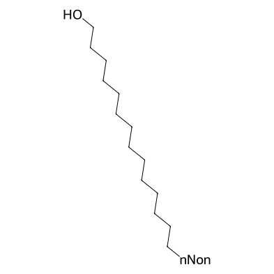 [CH2]CCCCCCCCCCCCCCCCCCCCCCO